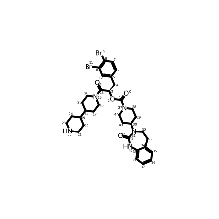 O=C(O[C@H](Cc1ccc(Br)c(Br)c1)C(=O)N1CCC(C2CCNCC2)CC1)N1CCC(N2CCc3ccccc3NC2=O)CC1